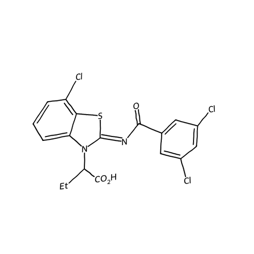 CCC(C(=O)O)n1c(=NC(=O)c2cc(Cl)cc(Cl)c2)sc2c(Cl)cccc21